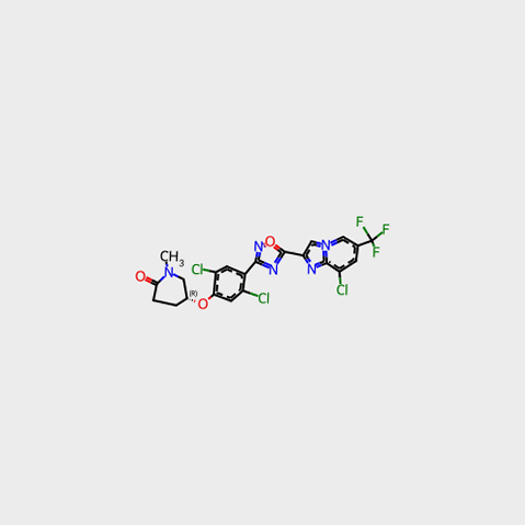 CN1C[C@H](Oc2cc(Cl)c(-c3noc(-c4cn5cc(C(F)(F)F)cc(Cl)c5n4)n3)cc2Cl)CCC1=O